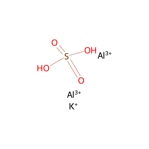 O=S(=O)(O)O.[Al+3].[Al+3].[K+]